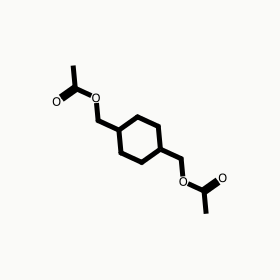 CC(=O)OCC1CCC(COC(C)=O)CC1